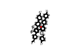 C=CC1C=CC(c2cc(-c3c(OCC4C=CC(C)CC4)ccc(C4CCC(C5CCC(C)CC5)CC4)c3F)c(C3CCC(C4CCC(C)CC4)CC3)c(F)c2F)CC1